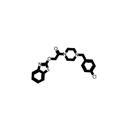 O=C(COc1nc2ccccc2s1)N1CCN(Cc2ccc(Cl)cc2)CC1